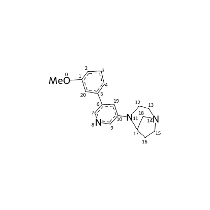 COc1cccc(-c2cncc(N3CCN4CCC3C4)c2)c1